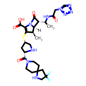 CC(NC(=O)Cn1cnnn1)[C@H]1C(=O)N2C(C(=O)O)=C(S[C@@H]3CN[C@H](C(=O)N4CCC5(CC4)CC(F)(F)CN5)C3)[C@H](C)[C@H]12